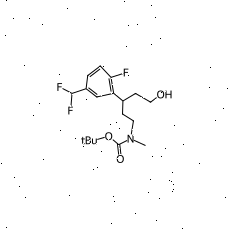 CN(CCC(CCO)c1cc(C(F)F)ccc1F)C(=O)OC(C)(C)C